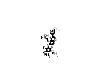 CNCCn1/c(=N/c2c(F)c(OC)cc(OC)c2F)ccc2ncc(-c3cnn(C)c3)nc21